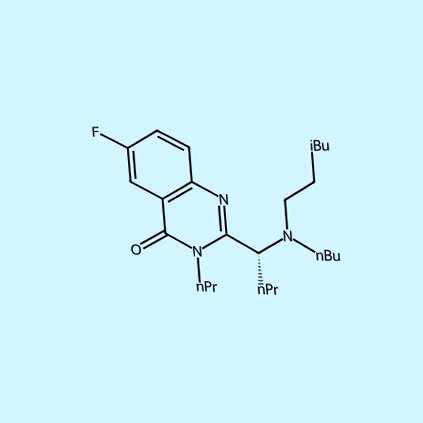 CCCCN(CCC(C)CC)[C@H](CCC)c1nc2ccc(F)cc2c(=O)n1CCC